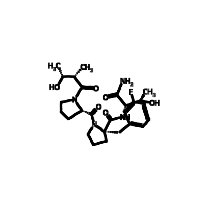 C[C@H](C(=O)N1CCC[C@H]1C(=O)N1CCC[C@]1(Cc1cccc(F)c1)C(=O)N[C@H](C(N)=O)[C@@H](C)O)[C@@H](C)O